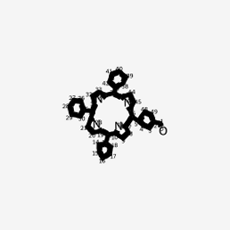 O=Cc1ccc(C2=C3C=CC(=N3)C(c3ccccc3)=C3C=CC(=N3)C(c3ccccc3)=C3C=CC(=N3)C(c3ccccc3)=C3C=CC2=N3)cc1